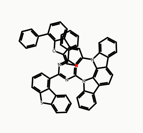 c1ccc(-c2nc(-c3cccc4sc5ccccc5c34)nc(-n3c4ccccc4c4ccc5c6ccccc6n(-c6ccc7oc8c(-c9ccccc9)cccc8c7c6)c5c43)n2)cc1